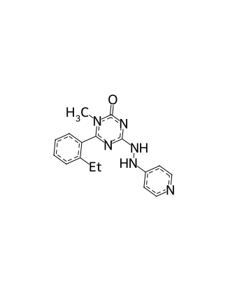 CCc1ccccc1-c1nc(NNc2ccncc2)nc(=O)n1C